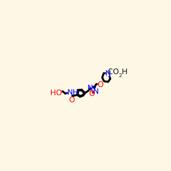 O=C(NCCO)c1ccc(-c2nc(COC3CCN(C(=O)O)CC3)no2)cc1